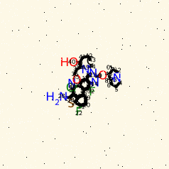 C[C@H]1CN2CCC[C@@]2(COc2nc3c4c(c(Cl)c(-c5ccc(F)c6sc(N)c(C#N)c56)c(F)c4n2)OCCC2C(O)CCCCN32)C1